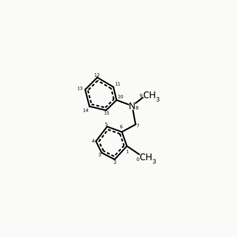 Cc1ccccc1CN(C)c1ccccc1